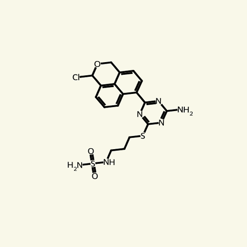 Nc1nc(SCCCNS(N)(=O)=O)nc(-c2ccc3c4c(cccc24)C(Cl)OC3)n1